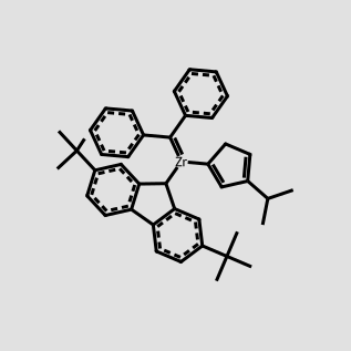 CC(C)C1=CC[C]([Zr](=[C](c2ccccc2)c2ccccc2)[CH]2c3cc(C(C)(C)C)ccc3-c3ccc(C(C)(C)C)cc32)=C1